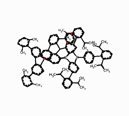 Cc1cccc(C)c1-c1ccc2c(c1)-c1cc(-c3c(C)cccc3C)ccc1C2c1ccc2c(c1)C(c1c(-c3ccccc3)cccc1-c1ccccc1)c1cc(-c3c(C(C)C)cccc3C(C)C)cc3c1B2c1cc(-c2c(C(C)C)cccc2C(C)C)ccc1N3c1ccc(-c2c(C(C)C)cccc2C(C)C)cc1